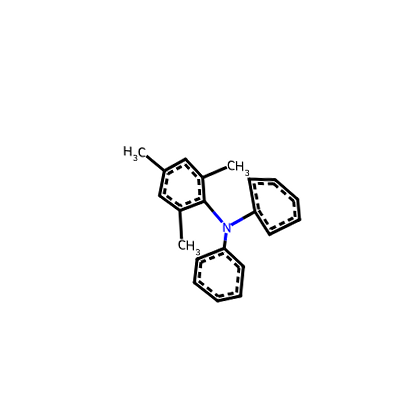 Cc1cc(C)c(N(c2ccccc2)c2ccccc2)c(C)c1